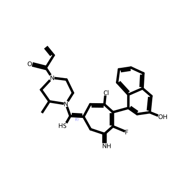 C=CC(=O)N1CCN(/C(S)=C2\C=C(Cl)C(c3cc(O)cc4ccccc34)=C(F)C(=N)C2)C(C)C1